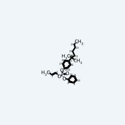 CC=COP(=O)(Oc1ccccc1)Oc1ccc(C(C)(C)CCCCC)cc1